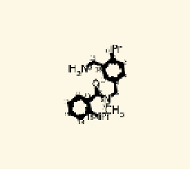 CC(C)c1ccc(CN(C)C(=O)c2ccccc2C(C)C)cc1CN